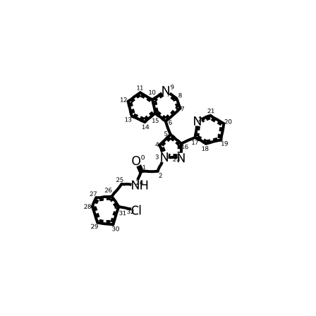 O=C(Cn1cc(-c2ccnc3ccccc23)c(-c2ccccn2)n1)NCc1ccccc1Cl